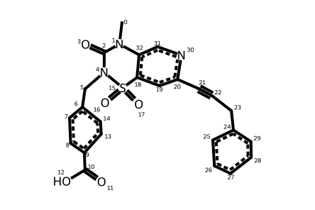 CN1C(=O)N(Cc2ccc(C(=O)O)cc2)S(=O)(=O)c2cc(C#CCc3ccccc3)ncc21